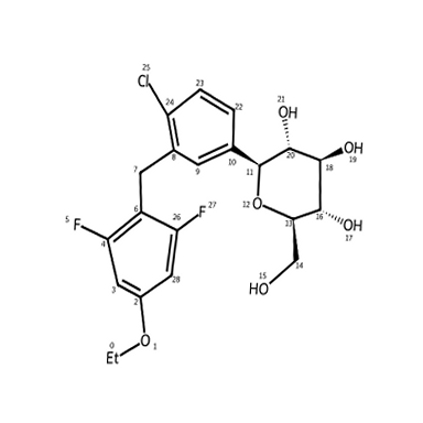 CCOc1cc(F)c(Cc2cc([C@@H]3O[C@H](CO)[C@@H](O)[C@H](O)[C@H]3O)ccc2Cl)c(F)c1